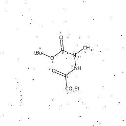 CCOC(=O)C(=O)NN(C)C(=O)OC(C)(C)C